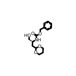 O=C(N[C@H](CO)CC1OCCCO1)OCc1ccccc1